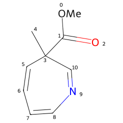 COC(=O)C1(C)C=CC=CN=C1